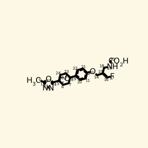 Cc1nnc(C23CCC(c4ccc(OCC(=CF)CNC(=O)O)cc4)(CC2)CC3)o1